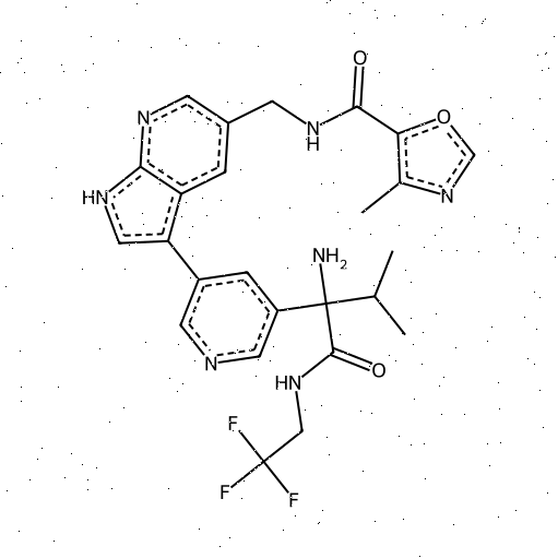 Cc1ncoc1C(=O)NCc1cnc2[nH]cc(-c3cncc(C(N)(C(=O)NCC(F)(F)F)C(C)C)c3)c2c1